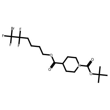 CC(C)(C)OC(=O)N1CCC(C(=O)OCCCCC(F)(F)C(F)(F)Br)CC1